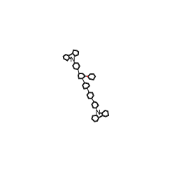 c1ccc(-c2cc(-c3ccc(-n4c5ccccc5c5ccccc54)cc3)ccc2-c2ccc(-c3ccc(-c4ccc(-n5c6ccccc6c6ccccc65)cc4)cc3)cc2)cc1